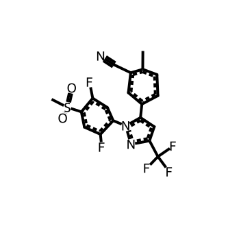 Cc1ccc(-c2cc(C(F)(F)F)nn2-c2cc(F)c(S(C)(=O)=O)cc2F)cc1C#N